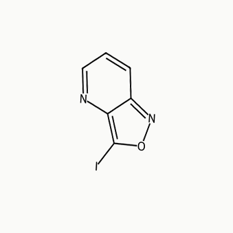 Ic1onc2cccnc12